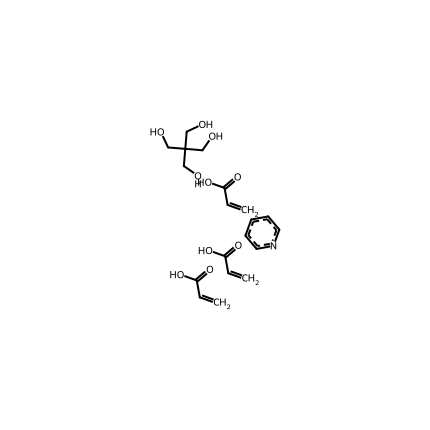 C=CC(=O)O.C=CC(=O)O.C=CC(=O)O.OCC(CO)(CO)CO.c1ccncc1